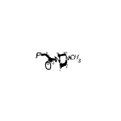 CN1CCN(C(=O)[CH]F)CC1